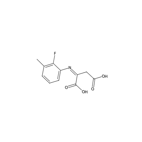 Cc1cccc(N=C(CC(=O)O)C(=O)O)c1F